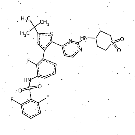 CC(C)(C)c1nc(-c2cccc(NS(=O)(=O)c3c(F)cccc3F)c2F)c(-c2ccnc(NC3CCS(=O)(=O)CC3)n2)s1